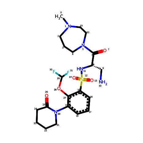 CN1CCCN(C(=O)[C@H](CN)NS(=O)(=O)c2cccc(N3CCCCC3=O)c2OC(F)F)CC1